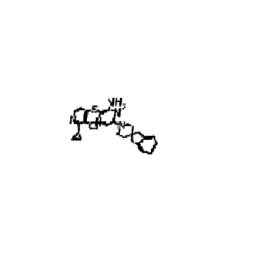 Nc1nc(N2CCC3(CC2)Cc2ccccc2C3)cnc1Sc1ccnc(C2CC2)c1Cl